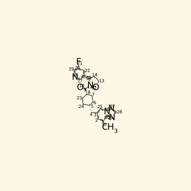 Cc1cc(C[C@H]2CC[C@H](C(=O)N3OCC[C@H]3c3cncc(F)c3)CC2)cn2ncnc12